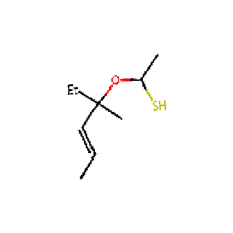 CC=CC(C)(CC)OC(C)S